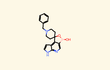 OB1OC2(CCN(Cc3ccccc3)CC2)c2c1cnc1[nH]ccc21